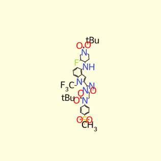 CC(C)(C)OC(=O)N1CC[C@@H](Nc2cccc3c2cc(-c2noc(CN(C(=O)OC(C)(C)C)c4ccc(S(C)(=O)=O)cc4)n2)n3CC(F)(F)F)[C@@H](F)C1